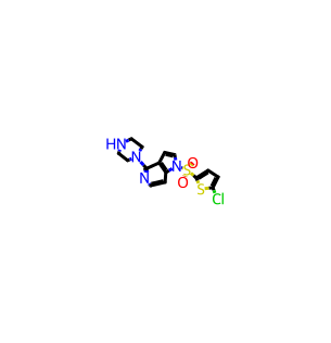 O=S(=O)(c1ccc(Cl)s1)n1ccc2c(N3CCNCC3)nccc21